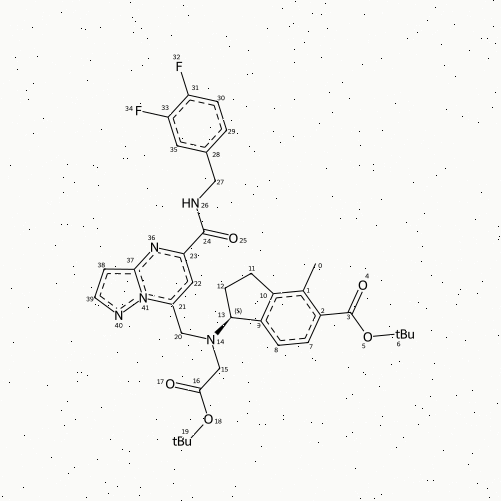 Cc1c(C(=O)OC(C)(C)C)ccc2c1CC[C@@H]2N(CC(=O)OC(C)(C)C)Cc1cc(C(=O)NCc2ccc(F)c(F)c2)nc2ccnn12